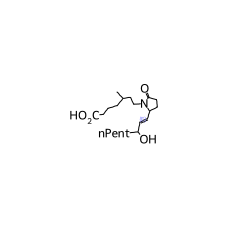 CCCCCC(O)/C=C/C1CCC(=O)N1CCC(C)CCCC(=O)O